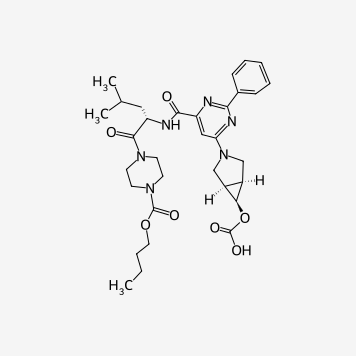 CCCCOC(=O)N1CCN(C(=O)[C@H](CC(C)C)NC(=O)c2cc(N3C[C@@H]4[C@H](C3)[C@@H]4OC(=O)O)nc(-c3ccccc3)n2)CC1